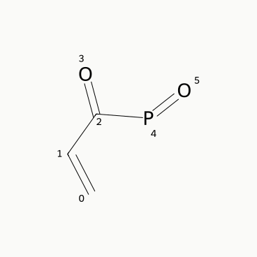 C=CC(=O)P=O